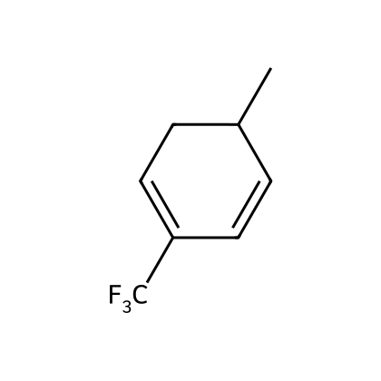 CC1C=CC(C(F)(F)F)=CC1